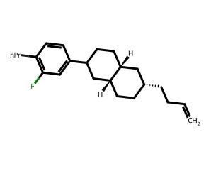 C=CCC[C@@H]1CC[C@@H]2CC(c3ccc(CCC)c(F)c3)CC[C@@H]2C1